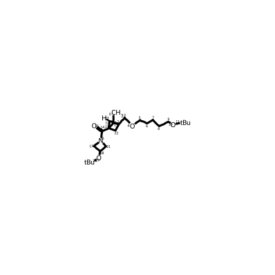 C[C@@H]1C2(COCCCCCOC(C)(C)C)CC1(C(=O)N1CC(OC(C)(C)C)C1)C2